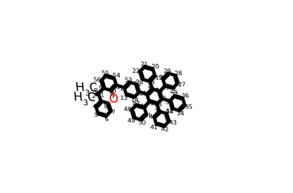 CC1(C)c2ccccc2Oc2c(-c3ccc(-c4c(-c5ccccc5)c(-c5ccccc5)c(-c5ccccc5)c(-c5ccccc5)c4-c4ccccc4)cc3)cccc21